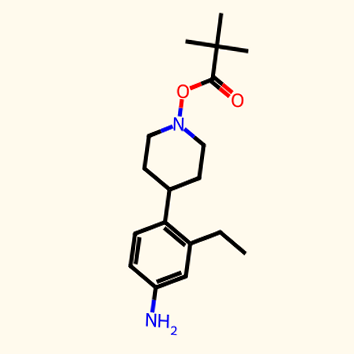 CCc1cc(N)ccc1C1CCN(OC(=O)C(C)(C)C)CC1